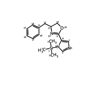 C[Si](C)(C)n1cncc1C1=NC(Cc2ccccc2)CO1